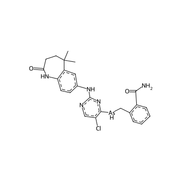 CC1(C)CCC(=O)Nc2ccc(Nc3ncc(Cl)c([AsH]Cc4ccccc4C(N)=O)n3)cc21